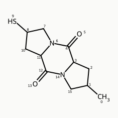 CC1CC2C(=O)N3CC(S)CC3C(=O)N2C1